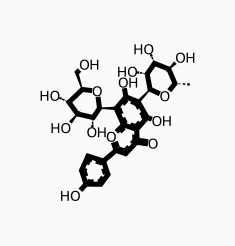 C[C@@H]1O[C@@H](c2c(O)c([C@@H]3O[C@H](CO)[C@@H](O)[C@H](O)[C@H]3O)c3oc(-c4ccc(O)cc4)cc(=O)c3c2O)[C@H](O)[C@H](O)[C@H]1O